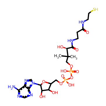 CC(C)(COP(=O)(O)OP(=O)(O)OCC1OC(n2cnc3c(N)ncnc32)C(O)C1O)[C@@H](O)C(=O)NCCC(=O)NCCS